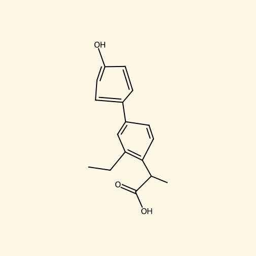 CCc1cc(-c2ccc(O)cc2)ccc1C(C)C(=O)O